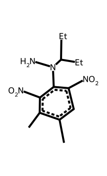 CCC(CC)N(N)c1c([N+](=O)[O-])cc(C)c(C)c1[N+](=O)[O-]